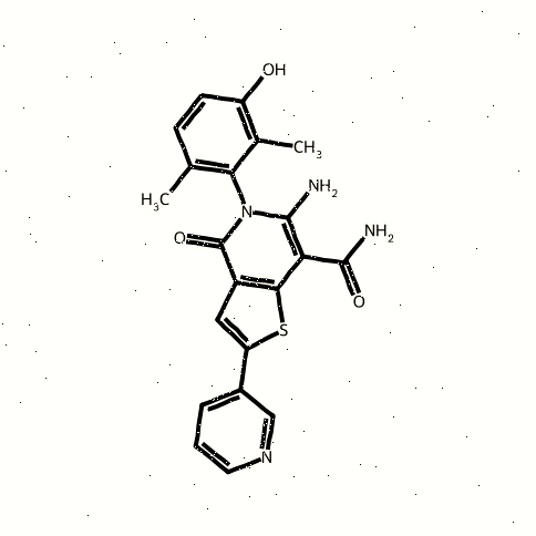 Cc1ccc(O)c(C)c1-n1c(N)c(C(N)=O)c2sc(-c3cccnc3)cc2c1=O